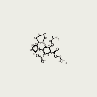 CCOC(=O)c1cc([N+](=O)[O-])c(-n2ccnc2C2CCCCC2)cc1OCC